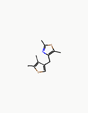 Cc1nc(Cc2csc(C)c2C)c(C)s1